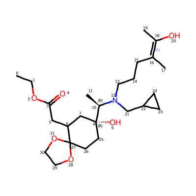 CCOC(=O)CC1C[C@@](O)([C@@H](C)N(CCC/C(C)=C(\C)O)CC2CC2)CCC12OCCO2